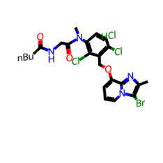 CCCCC(=O)NCC(=O)N(C)c1ccc(Cl)c(COc2cccn3c(Br)c(C)nc23)c1Cl.Cl